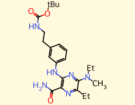 CCc1nc(C(N)=O)c(Nc2cccc(CCNC(=O)OC(C)(C)C)c2)nc1N(C)CC